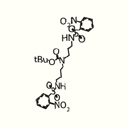 CC(C)(C)OC(=O)N(CCCCNS(=O)(=O)c1ccccc1[N+](=O)[O-])CCCNS(=O)(=O)c1ccccc1[N+](=O)[O-]